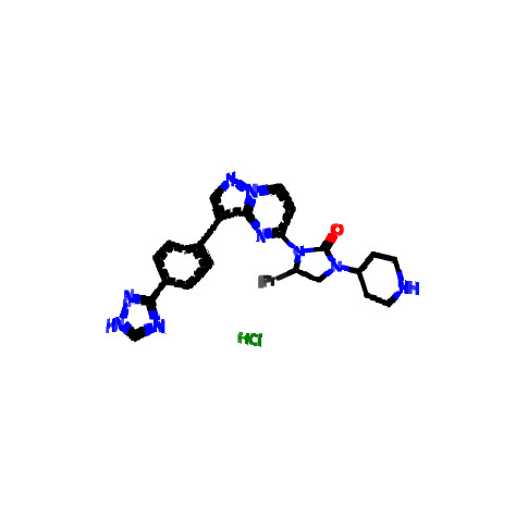 CC(C)C1CN(C2CCNCC2)C(=O)N1c1ccn2ncc(-c3ccc(-c4nc[nH]n4)cc3)c2n1.Cl